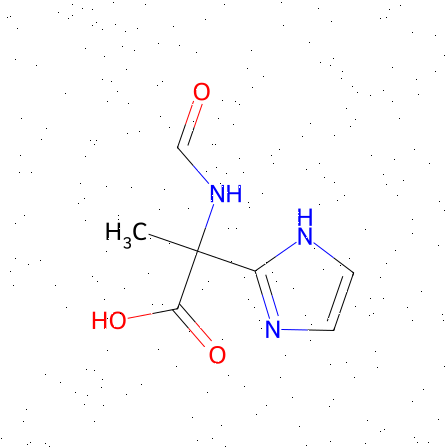 CC(NC=O)(C(=O)O)c1ncc[nH]1